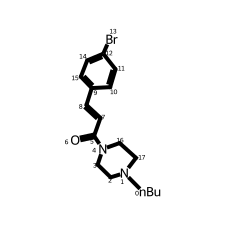 CCCCN1CCN(C(=O)C=Cc2ccc(Br)cc2)CC1